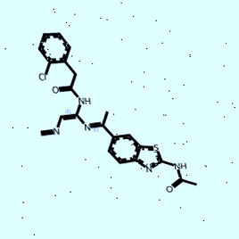 C=N/C=C(\N=C(/C)c1ccc2nc(NC(C)=O)sc2c1)NC(=O)Cc1ccccc1Cl